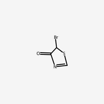 O=C1N=CSC1Br